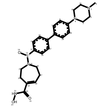 CN1CCN(c2ccc(-c3ccc([S+]([O-])N4CCC=C(C(=O)NO)CC4)cc3)cc2)CC1